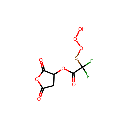 O=C1CC(OC(=O)C(F)(F)SOOO)C(=O)O1